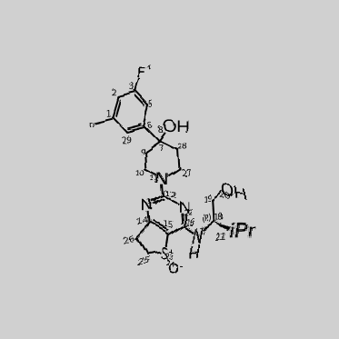 Cc1cc(F)cc(C2(O)CCN(c3nc4c(c(N[C@@H](CO)C(C)C)n3)[S+]([O-])CC4)CC2)c1